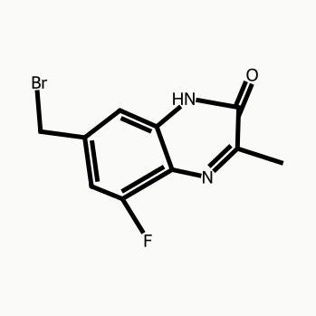 Cc1nc2c(F)cc(CBr)cc2[nH]c1=O